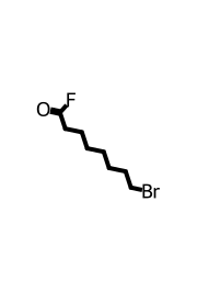 O=C(F)CCCCCCCBr